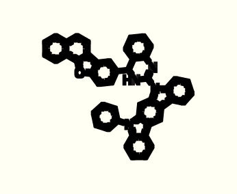 c1ccc(-n2c3ccccc3c3cc4c5ccccc5n(C5=Nc6ccccc6C(c6ccc7oc8c9ccccc9ccc8c7c6)N5)c4cc32)cc1